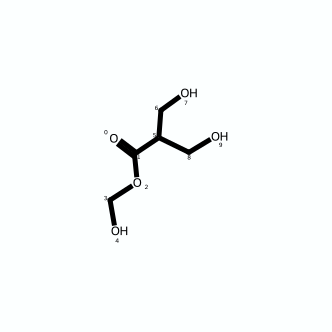 O=C(OCO)C(CO)CO